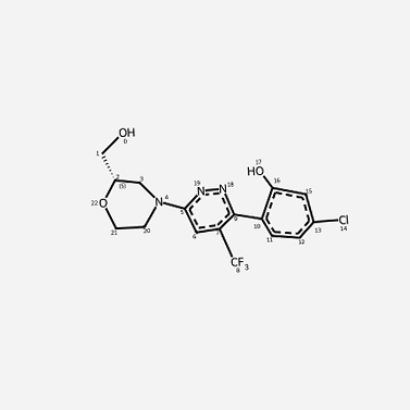 OC[C@@H]1CN(c2cc(C(F)(F)F)c(-c3ccc(Cl)cc3O)nn2)CCO1